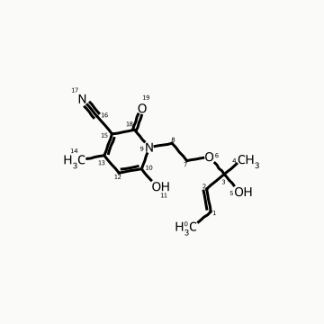 C/C=C/C(C)(O)OCCn1c(O)cc(C)c(C#N)c1=O